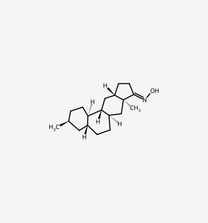 C[C@H]1CC[C@@H]2[C@H](CC[C@@H]3C[C@]4(C)C(=NO)CC[C@H]4C[C@H]32)C1